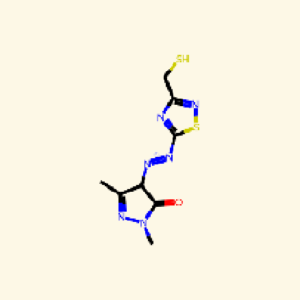 CC1=NN(C)C(=O)C1/N=N/c1nc(CS)ns1